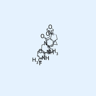 CNC(=O)Nc1ccc2c(c1)CC[C@@]21OC2OC1N2CC(=O)N(Cc1ccc(F)cc1F)[C@@H](C)C1CC1